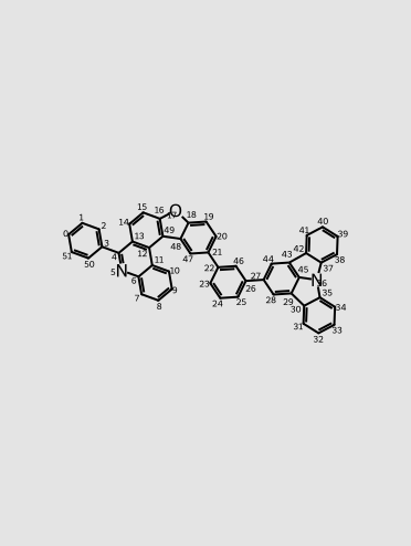 c1ccc(-c2nc3ccccc3c3c2ccc2oc4ccc(-c5cccc(-c6cc7c8ccccc8n8c9ccccc9c(c6)c78)c5)cc4c23)cc1